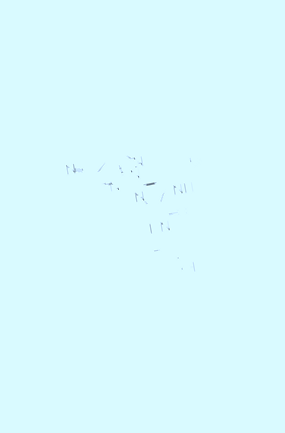 CC(C)(O)[C@H](F)CNC(=O)c1cnc(-n2ncc3cc(C#N)cnc32)cc1N[C@@H]1CCOC1